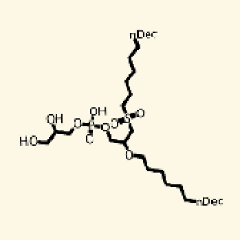 CCCCCCCCCCCCCCCCOC(COP(=O)(O)OCC(O)CO)CS(=O)(=O)CCCCCCCCCCCCCCCC